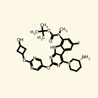 CN(C(=O)OC(C)(C)C)c1cc(F)cc2c1[nH]c1nc(Oc3cnc(OC4CC(O)C4)nc3)nc(N3CCC[C@@H](N)C3)c12